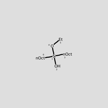 CCCCCCCC[Si](O)(CCCCCCCC)OCC